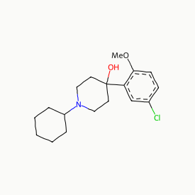 COc1ccc(Cl)cc1C1(O)CCN(C2CCCCC2)CC1